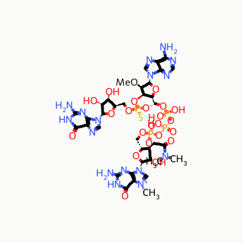 CO[C@@H]1[C@H](OP([O-])(=S)OC[C@H]2O[C@@H](n3cnc4c(=O)[nH]c(N)nc43)[C@H](O)[C@@H]2O)[C@@H](COP(=O)(O)OP(=O)(O)OP(=O)(O)OC[C@H]2O[C@@H](n3c[n+](C)c4c(=O)[nH]c(N)nc43)[C@H](O)[C@@H]2CC(=O)N(C)C)O[C@H]1n1cnc2c(N)ncnc21